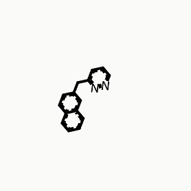 c1cnnc(Cc2ccc3ccccc3c2)c1